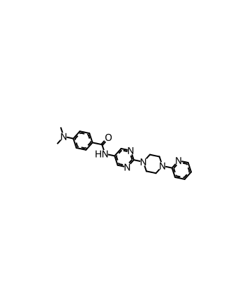 CN(C)c1ccc(C(=O)Nc2cnc(N3CCN(c4ccccn4)CC3)nc2)cc1